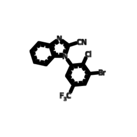 N#Cc1nc2ccccc2n1-c1cc(C(F)(F)F)cc(Br)c1Cl